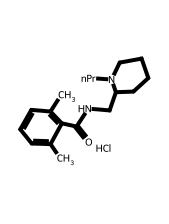 CCCN1CCCCC1CNC(=O)c1c(C)cccc1C.Cl